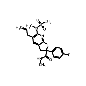 C=CCc1cc2c(nc1N(C)S(C)(=O)=O)OC(C(=O)NC)(c1ccc(F)cc1)C2